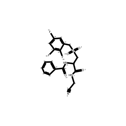 N#CCNC(=O)C(CS(=O)(=O)Cc1cc(F)cc(F)c1F)NC(=O)c1ccccc1